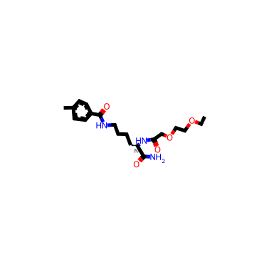 CCOCCOCC(=O)N[C@@H](CCCCNC(=O)c1ccc(C)cc1)C(N)=O